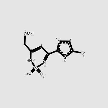 COCC1=CC(c2ncc(Br)s2)=NS(=O)(=O)N1